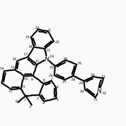 CC1(C)c2ccccc2-c2c3c1cccc3cc1c3ccccc3n(-c3ccc(-c4ccncc4)cc3)c21